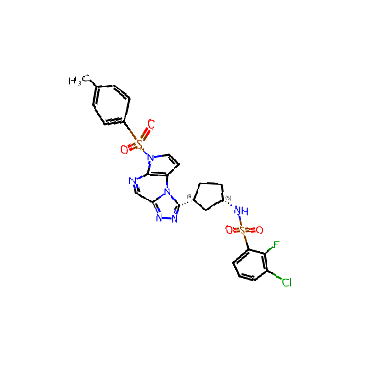 Cc1ccc(S(=O)(=O)n2ccc3c2ncc2nnc([C@@H]4CC[C@H](NS(=O)(=O)c5cccc(Cl)c5F)C4)n23)cc1